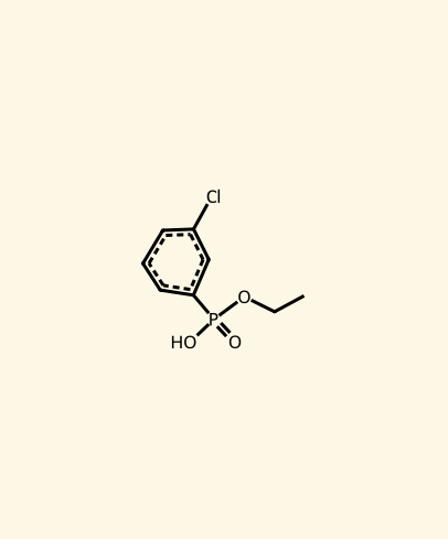 CCOP(=O)(O)c1cccc(Cl)c1